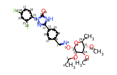 CCO[C@H]1[C@H](O/N=C/c2ccc(-c3nn(-c4ccc(F)cc4F)c(=O)[nH]3)cc2)O[C@@H](C)[C@H](OC)[C@H]1OC